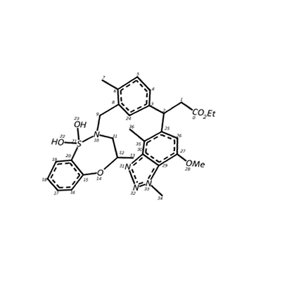 CCOC(=O)CC(c1ccc(C)c(CN2CC(C)Oc3ccccc3S2(O)O)c1)c1cc(OC)c2c(nnn2C)c1C